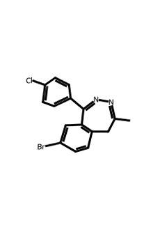 CC1=NN=C(c2ccc(Cl)cc2)c2cc(Br)ccc2C1